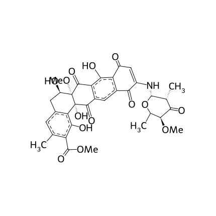 COC(=O)c1c(C)cc2c(c1O)[C@]1(O)C(=O)c3cc4c(c(O)c3C(=O)[C@]1(OC)[C@H](O)C2)C(=O)C=C(N[C@H]1OC(C)[C@H](OC)C(=O)[C@H]1C)C4=O